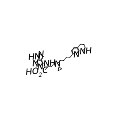 O=C(O)C(CCN(CCCCc1ccc2c(n1)NCCC2)C1CC1)Nc1ncnc2[nH]ncc12